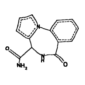 NC(=O)C1NC(=O)c2ccccc2-n2cccc21